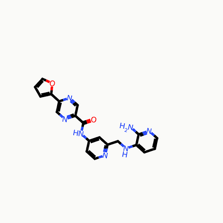 Nc1ncccc1NCc1cc(NC(=O)c2cnc(-c3ccco3)cn2)ccn1